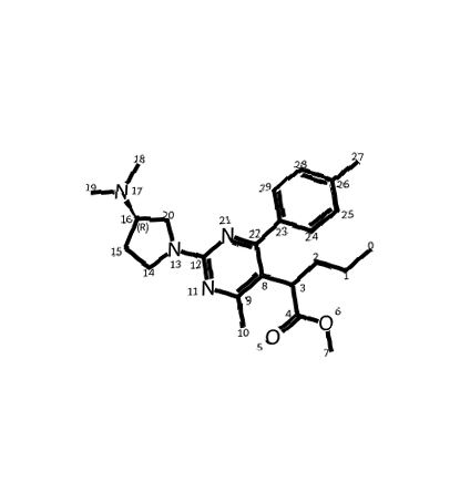 CCCC(C(=O)OC)c1c(C)nc(N2CC[C@@H](N(C)C)C2)nc1-c1ccc(C)cc1